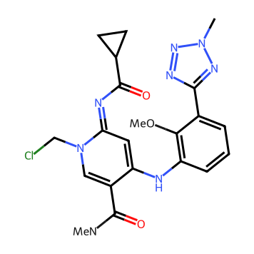 CNC(=O)c1cn(CCl)c(=NC(=O)C2CC2)cc1Nc1cccc(-c2nnn(C)n2)c1OC